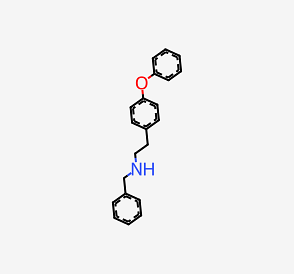 c1ccc(CNCCc2ccc(Oc3ccccc3)cc2)cc1